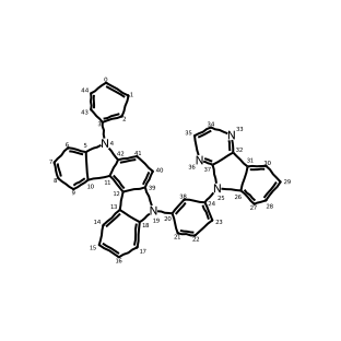 c1ccc(-n2c3ccccc3c3c4c5ccccc5n(-c5cccc(-n6c7ccccc7c7nccnc76)c5)c4ccc32)cc1